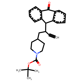 C#CC(CC1CCN(C(=O)OC(C)(C)C)CC1)C1c2ccccc2C(=O)c2ccccc21